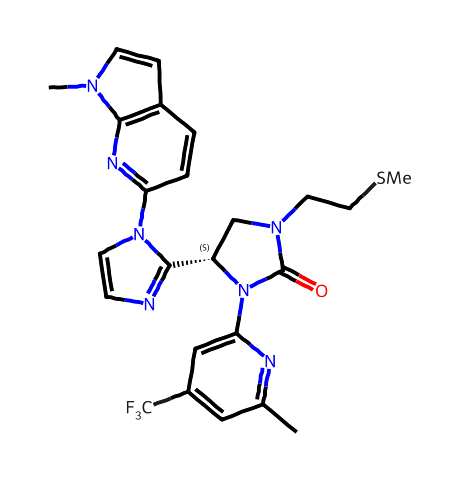 CSCCN1C[C@@H](c2nccn2-c2ccc3ccn(C)c3n2)N(c2cc(C(F)(F)F)cc(C)n2)C1=O